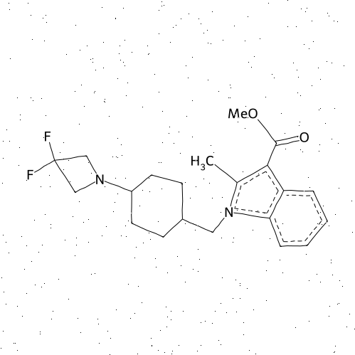 COC(=O)c1c(C)n(CC2CCC(N3CC(F)(F)C3)CC2)c2ccccc12